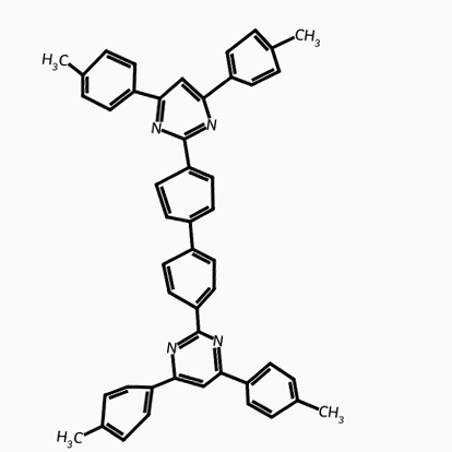 Cc1ccc(-c2cc(-c3ccc(C)cc3)nc(-c3ccc(-c4ccc(-c5nc(-c6ccc(C)cc6)cc(-c6ccc(C)cc6)n5)cc4)cc3)n2)cc1